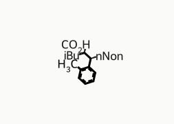 CCCCCCCCC[C@@H](c1ccccc1C)[C@H](C(=O)O)C(C)CC